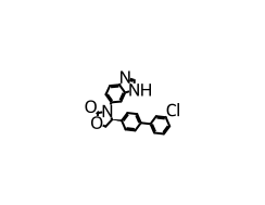 O=C1OC[C@H](c2ccc(-c3cccc(Cl)c3)cc2)N1c1ccc2nc[nH]c2c1